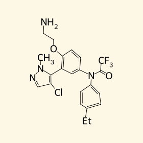 CCc1ccc(N(C(=O)C(F)(F)F)c2ccc(OCCN)c(-c3c(Cl)cnn3C)c2)cc1